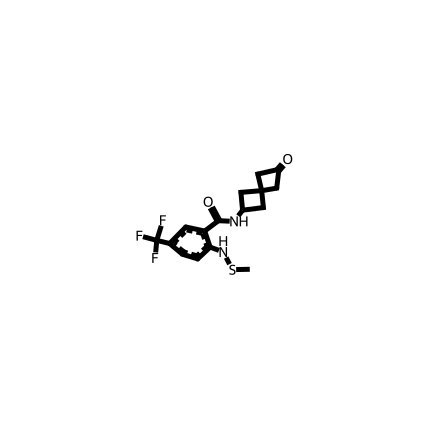 CSNc1ccc(C(F)(F)F)cc1C(=O)NC1CC2(CC(=O)C2)C1